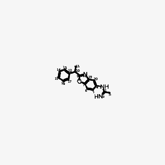 CC(=N)Nc1ccc2oc(C(C)c3ccccc3)nc2c1